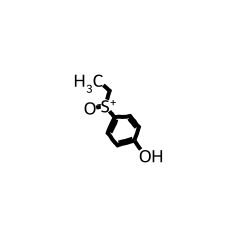 CC[S+]([O-])c1ccc(O)cc1